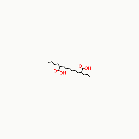 CCCCC(CCCCCCC(CCC)C(=O)O)C(=O)O